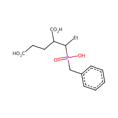 CCC(C(CCC(=O)O)C(=O)O)P(=O)(O)Cc1ccccc1